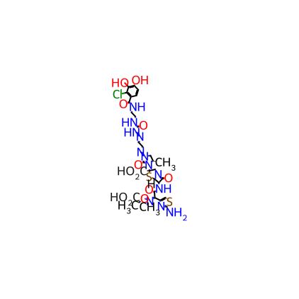 C[C@H]1CN(/N=C/C=N/NC(=O)NCCNC(=O)c2ccc(O)c(O)c2Cl)C(=O)N1[C@]1(C(=O)O)CN2C(=O)C(NC(=O)/C(=N\OC(C)(C)C(=O)O)c3csc(N)n3)[C@H]2S1